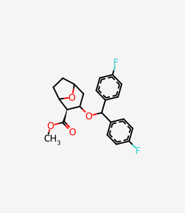 COC(=O)[C@H]1C2CCC(CC1OC(c1ccc(F)cc1)c1ccc(F)cc1)O2